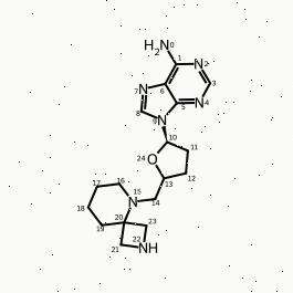 Nc1ncnc2c1ncn2[C@H]1CCC(CN2CCCCC23CNC3)O1